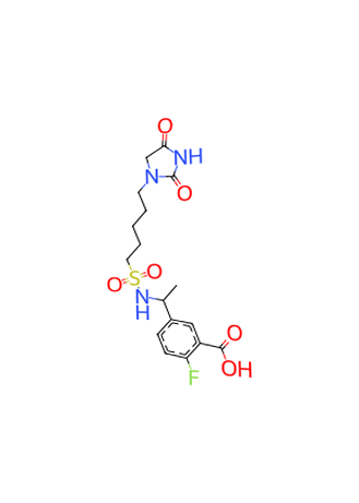 CC(NS(=O)(=O)CCCCCN1CC(=O)NC1=O)c1ccc(F)c(C(=O)O)c1